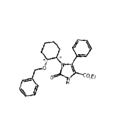 CCOC(=O)c1[nH]c(=O)n([C@@H]2CCCC[C@H]2OCc2ccccc2)c1-c1ccccc1